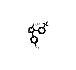 CCOC(=O)c1c[nH]c(-c2ccc(C(F)(F)F)cc2)c1-c1cccc(S(C)(=O)=O)c1